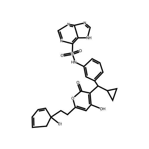 CCC1(CCc2cc(O)c(C(c3cccc(NS(=O)(=O)c4ncnc5nc[nH]c45)c3)C3CC3)c(=O)o2)C=CC=CC1